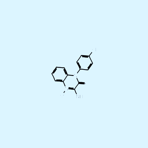 Nc1c(=O)n(-c2ccc(Cl)cc2)c2ccccc2[n+]1[O-]